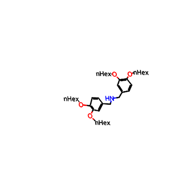 CCCCCCOc1ccc(CNCc2ccc(OCCCCCC)c(OCCCCCC)c2)cc1OCCCCCC